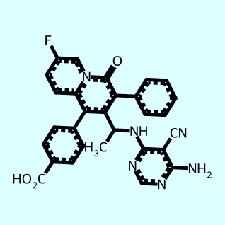 CC(Nc1ncnc(N)c1C#N)c1c(-c2ccccc2)c(=O)n2cc(F)ccc2c1-c1ccc(C(=O)O)cc1